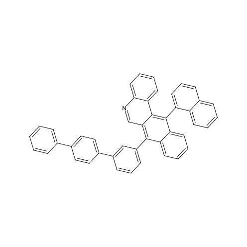 c1ccc(-c2ccc(-c3cccc(-c4c5ccccc5c(-c5cccc6ccccc56)c5c4cnc4ccccc45)c3)cc2)cc1